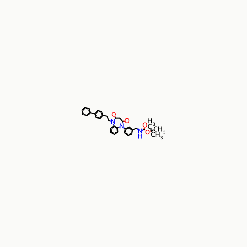 CC(C)(C)OC(=O)NCc1cccc(N2C(=O)CC(=O)N(CCc3ccc(-c4ccccc4)cc3)c3ccccc32)c1